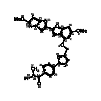 COc1cc(OCc2csc(-c3ccc(C(=O)N(C)C(C)C)cc3)n2)c2cc(-c3cn4nc(OC)sc4n3)oc2c1